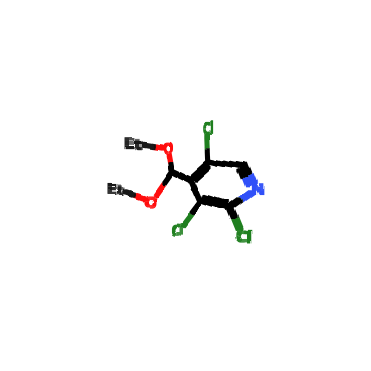 CCOC(OCC)c1c(Cl)cnc(Cl)c1Cl